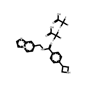 O=C(NCc1ccn2ccnc2c1)c1ccc(C2CNC2)cc1.O=C(O)C(F)(F)F.O=C(O)C(F)(F)F